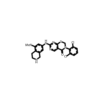 CNc1cc(Nc2ncc3c(n2)SCN(c2c(Cl)cccc2Cl)C3=O)cc2c1CCNC2